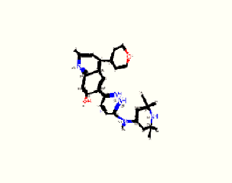 Cc1cc(C2CCOCC2)c2cc(C(=N)/C=C\C(=N)N(C)C3CC(C)(C)NC(C)(C)C3)c(O)cc2n1